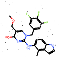 COCC1=CN(Cc2cc(F)c(F)c(F)c2)C(Nc2ccc3[nH]ccc3c2C)=NC1O